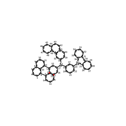 c1ccc(-c2cccc3cccc(-c4cccc(N(c5cccc(-n6c7ccccc7c7ccccc76)c5)c5ccc6ccc7ccccc7c6c5)c4)c23)cc1